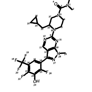 CN(C)C(=O)N1CCN(c2ncc3c(-c4cc(C(F)(F)F)c(F)c(O)c4F)nn(C)c3n2)C(CC2CC2)C1